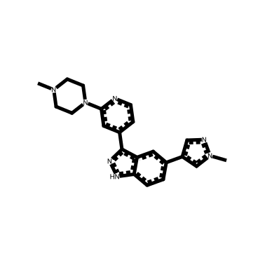 CN1CCN(c2cc(-c3n[nH]c4ccc(-c5cnn(C)c5)cc34)ccn2)CC1